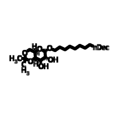 CCCCCCCCCCCCCCCCCCO[C@@H]1O[C@@H]2COC(C)(C)O[C@H]2[C@H](O)[C@H]1O